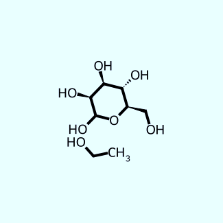 CCO.OC[C@H]1OC(O)[C@@H](O)[C@@H](O)[C@@H]1O